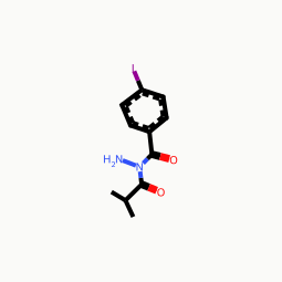 CC(C)C(=O)N(N)C(=O)c1ccc(I)cc1